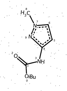 CC(C)COC(=O)Nc1ccn(C)n1